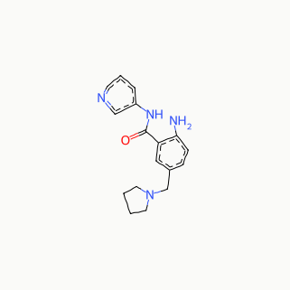 Nc1ccc(CN2CCCC2)cc1C(=O)Nc1cccnc1